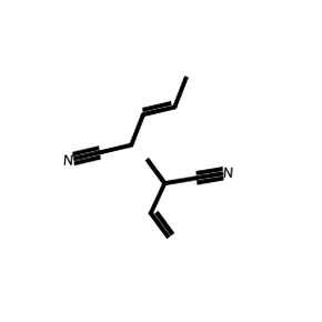 C/C=C/CC#N.C=CC(C)C#N